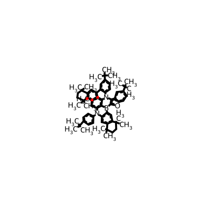 Cc1cc2c3c(c1)N(c1ccc(C(C)(C)C)cc1-c1ccc4c(c1)C(C)(C)CCC4(C)C)c1c(oc4ccc(C(C)(C)C)cc14)B3c1cc3c(cc1N2c1ccc(C(C)(C)C)cc1)C(C)(C)CCC3(C)C